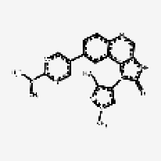 Cc1nn(C)cc1-n1c(=O)[nH]c2cnc3ccc(-c4cnc(N(C)C)nc4)cc3c21